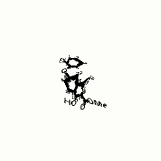 CCc1ccccc1Oc1ccc2c(O)c(C(=O)OC)nc(I)c2c1